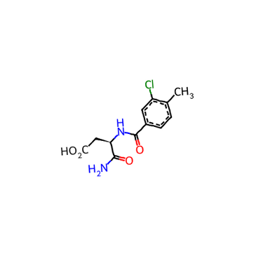 Cc1ccc(C(=O)N[C@H](CC(=O)O)C(N)=O)cc1Cl